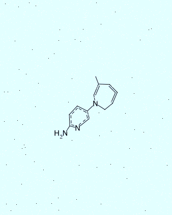 CC1=CN(c2ccc(N)nc2)CC=C=C1